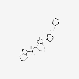 O=C(NC1COCc2c1cnn2-c1cccc(OCc2ccccc2)c1Cl)c1ncn2c1CCCC2